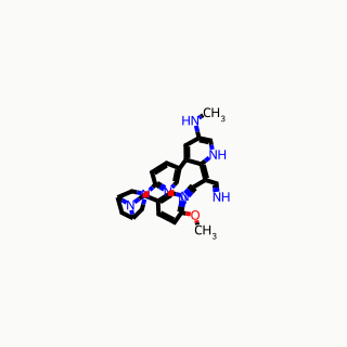 CNC1=CN/C(=C(/C#N)C=N)C(c2ccc(N3CC4CC(C3)N4Cc3ccc(OC)nc3)nc2)=C1